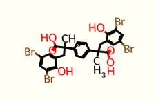 CC(Cc1cc(Br)cc(Br)c1O)(C(=O)O)c1ccc(C(C)(Cc2cc(Br)cc(Br)c2O)C(=O)O)cc1